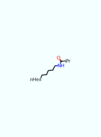 CCCCCCCCCCCNC(=O)C(C)C